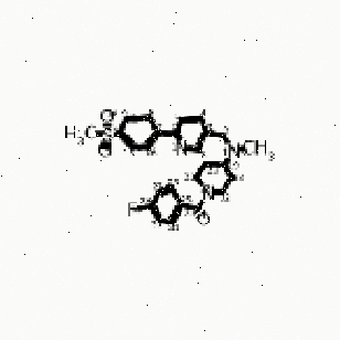 CN(Cc1ccc(-c2ccc(S(C)(=O)=O)cc2)nc1)C1CCN(C(=O)c2ccc(F)cc2)CC1